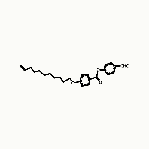 C=CCCCCCCCCCOc1ccc(C(=O)Oc2ccc(C=O)cc2)cc1